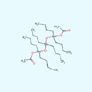 CCC[CH2][Sn]([CH2]CCC)([O]C(C)=O)[O][Sn]([CH2]CCC)([CH2]CCC)[O][Sn]([CH2]CCC)([CH2]CCC)[O]C(C)=O